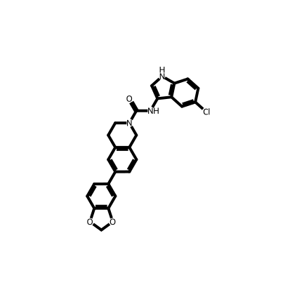 O=C(Nc1c[nH]c2ccc(Cl)cc12)N1CCc2cc(-c3ccc4c(c3)OCO4)ccc2C1